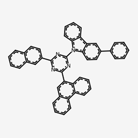 c1ccc(-c2ccc3c(c2)c2ccccc2n3-c2nc(-c3ccc4ccccc4c3)nc(-c3cc4ccccc4c4ccccc34)n2)cc1